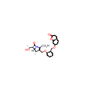 C[C@@H](O)[C@H]1C(=O)N2C(C(=O)O)=C(COc3ccccc3COc3ccc4ccc(=O)oc4c3)[C@H](C)[C@H]12